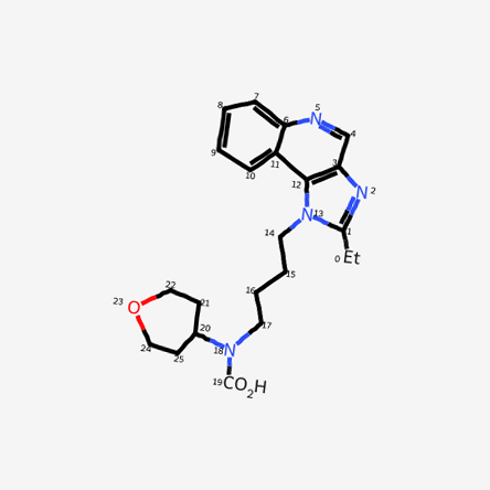 CCc1nc2cnc3ccccc3c2n1CCCCN(C(=O)O)C1CCOCC1